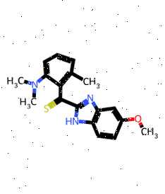 COc1ccc2[nH]c(C(=S)c3c(C)cccc3N(C)C)nc2c1